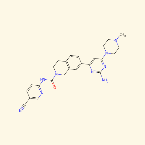 CN1CCN(c2cc(-c3ccc4c(c3)CN(C(=O)Nc3ccc(C#N)cn3)CC4)nc(N)n2)CC1